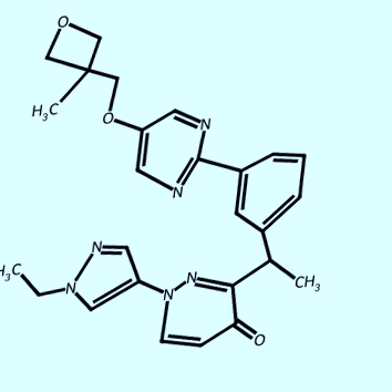 CCn1cc(-n2ccc(=O)c(C(C)c3cccc(-c4ncc(OCC5(C)COC5)cn4)c3)n2)cn1